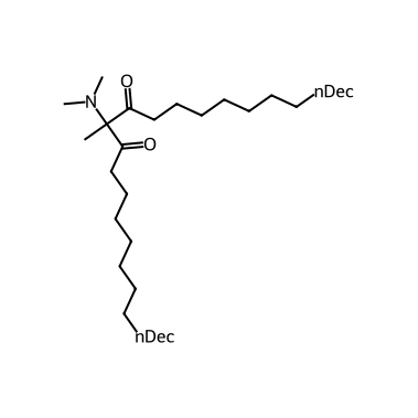 CCCCCCCCCCCCCCCCCC(=O)C(C)(C(=O)CCCCCCCCCCCCCCCCC)N(C)C